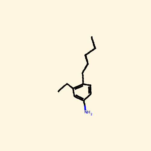 CCCCCc1ccc(N)cc1CC